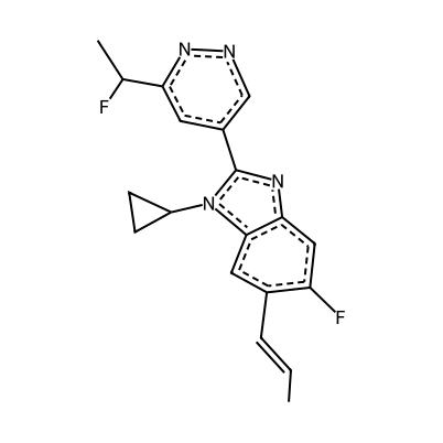 C/C=C/c1cc2c(cc1F)nc(-c1cnnc(C(C)F)c1)n2C1CC1